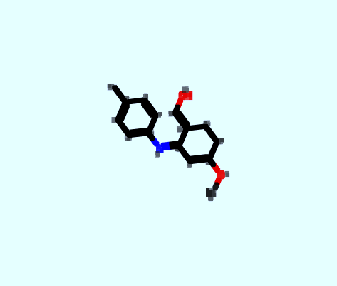 CCOC1=CC(=Nc2ccc(C)cc2)C(=CO)CC1